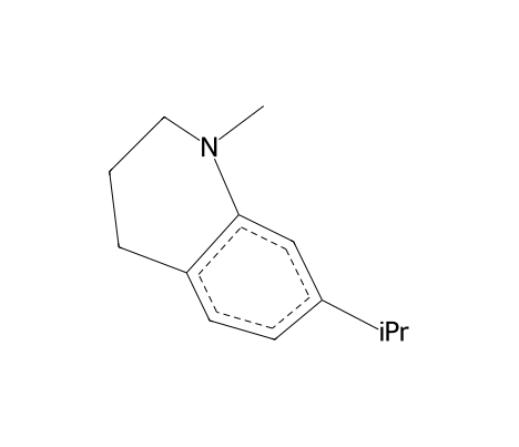 CC(C)c1ccc2c(c1)N(C)CCC2